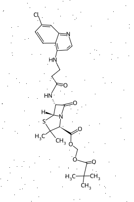 CC(C)(C)C(=O)OCOC(=O)[C@@H]1N2C(=O)[C@@H](NC(=O)CCNc3ccnc4cc(Cl)ccc34)[C@H]2SC1(C)C